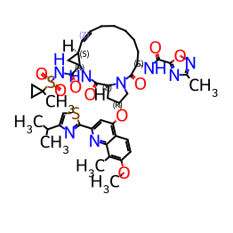 COc1ccc2c(O[C@@H]3C[C@H]4C(=O)N[C@]5(C(=O)NS(=O)(=O)C6(C)CC6)C[C@H]5/C=C\CCCCC[C@H](NC(=O)c5nc(C)no5)C(=O)N4C3)cc(-c3nc(C(C)C)cs3)nc2c1C